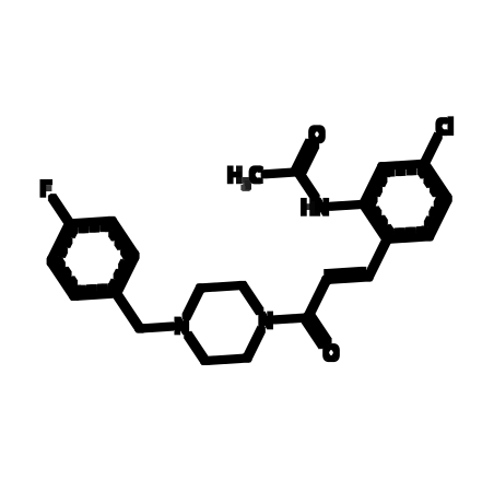 CC(=O)Nc1cc(Cl)ccc1C=CC(=O)N1CCN(Cc2ccc(F)cc2)CC1